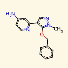 Cn1ncc(-c2cc(N)ccn2)c1OCc1ccccc1